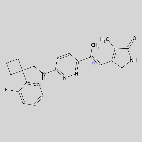 CC1=C(/C=C(\C)c2ccc(NCC3(c4ncccc4F)CCC3)nn2)CNC1=O